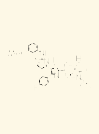 COc1cccc(Nc2nccc(-c3[nH]c(C4OCC(C)(C(=O)NCC#N)CO4)nc3-c3ccc(F)cc3)n2)c1